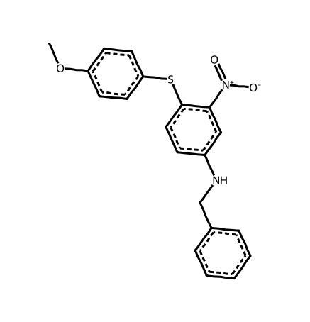 COc1ccc(Sc2ccc(NCc3ccccc3)cc2[N+](=O)[O-])cc1